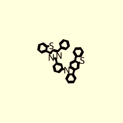 c1ccc(-c2nc(-c3cccc(-n4c5ccccc5c5cc6sc7ccccc7c6cc54)c3)nc3c2sc2ccccc23)cc1